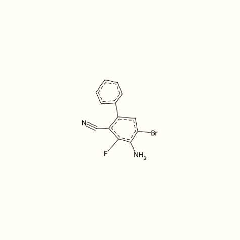 N#Cc1c(-c2ccccc2)cc(Br)c(N)c1F